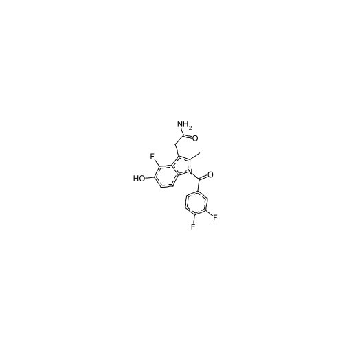 Cc1c(CC(N)=O)c2c(F)c(O)ccc2n1C(=O)c1ccc(F)c(F)c1